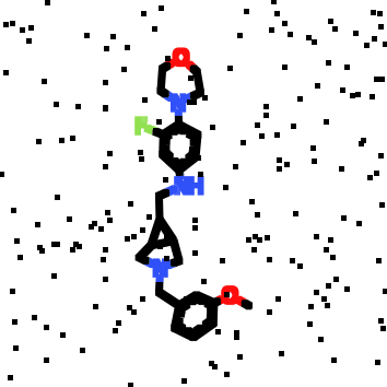 COc1cccc(CN2CC3C(CNc4ccc(N5CCOCC5)c(F)c4)C3C2)c1